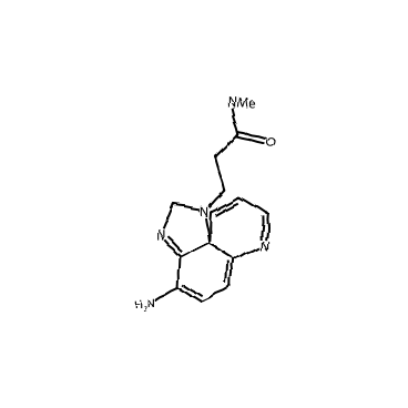 CNC(=O)CCN1CN=C2C(N)=CC=C3N=CC=CC321